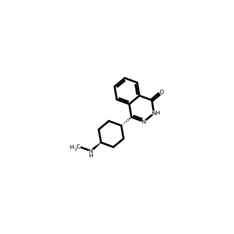 CN[C@H]1CC[C@H](c2n[nH]c(=O)c3ccccc32)CC1